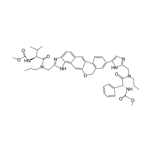 CCCN(Cc1nc2ccc3cc4c(cc3c2[nH]1)OCc1cc(-c2cnc(CN(CCC)C(=O)[C@H](NC(=O)OC)c3ccccc3)[nH]2)ccc1-4)C(=O)[C@@H](NC(=O)OC)C(C)C